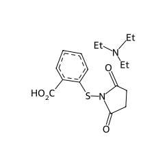 CCN(CC)CC.O=C(O)c1ccccc1SN1C(=O)CCC1=O